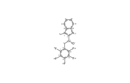 Cn1c([S+]([O-])Cc2c(F)c(F)c(F)c(F)c2F)nc2ccccc21